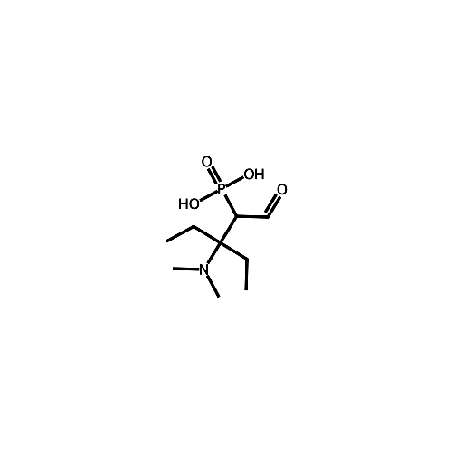 CCC(CC)(C(C=O)P(=O)(O)O)N(C)C